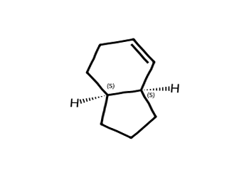 C1=C[C@H]2CCC[C@H]2CC1